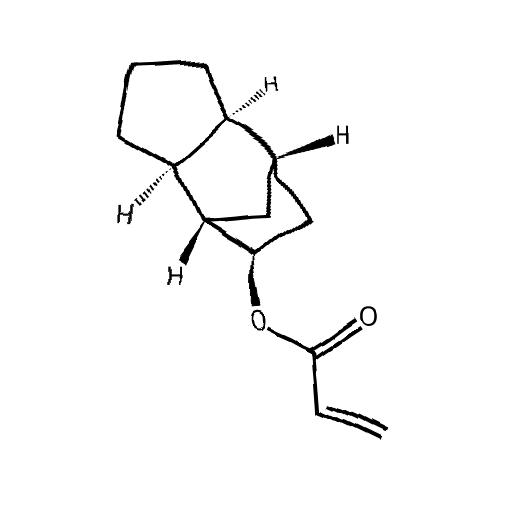 C=CC(=O)O[C@@H]1C[C@@H]2C[C@H]1[C@H]1CCC[C@@H]21